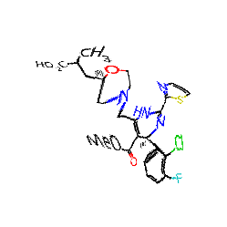 COC(=O)C1=C(CN2CCO[C@H](CC(C)C(=O)O)C2)NC(c2nccs2)=N[C@H]1c1cccc(F)c1Cl